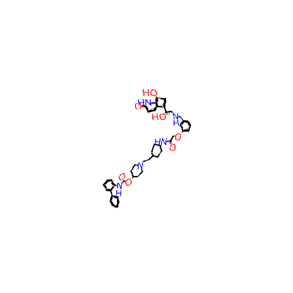 O=C(COc1cccc(CNC[C@@H](O)c2ccc(O)c3[nH]c(=O)ccc23)c1)NC1CCC(CCN2CCC(OC(=O)Nc3ccccc3-c3ccccc3)CC2)CC1